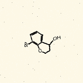 OC1CCOc2c(Br)cccc21